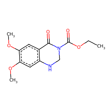 CCOC(=O)N1CNc2cc(OC)c(OC)cc2C1=O